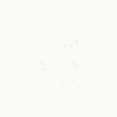 CNC(=O)c1cccc(-c2nn(C)cc2C(=O)NC(Cc2ccccc2)C(O)C(N)=O)c1